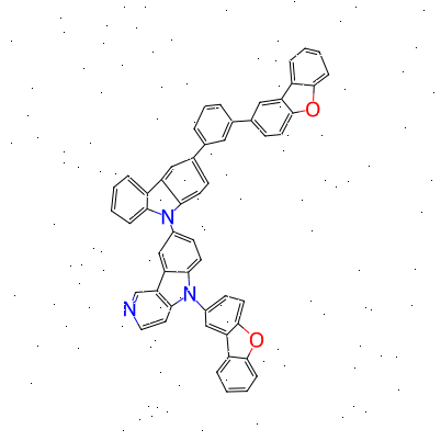 c1cc(-c2ccc3oc4ccccc4c3c2)cc(-c2ccc3c(c2)c2ccccc2n3-c2ccc3c(c2)c2cnccc2n3-c2ccc3oc4ccccc4c3c2)c1